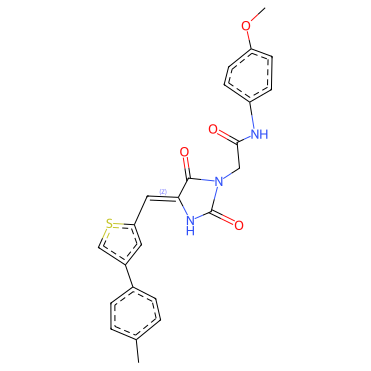 COc1ccc(NC(=O)CN2C(=O)N/C(=C\c3cc(-c4ccc(C)cc4)cs3)C2=O)cc1